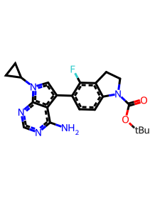 CC(C)(C)OC(=O)N1CCc2c1ccc(-c1cn(C3CC3)c3ncnc(N)c13)c2F